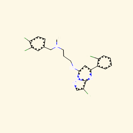 CN(CCCNc1cc(-c2ccccc2Cl)nc2c(Br)cnn12)Cc1ccc(Cl)c(Cl)c1